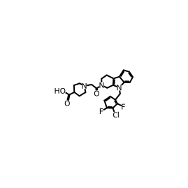 O=C(O)C1CCN(CC(=O)N2CCc3c(n(Cc4ccc(F)c(Cl)c4F)c4ccccc34)C2)CC1